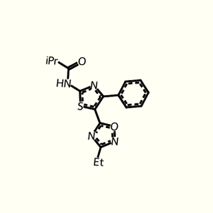 CCc1noc(-c2sc(NC(=O)C(C)C)nc2-c2ccccc2)n1